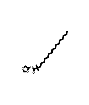 CCCCCCCCC=CCCCCCCC(C)(C)C(=O)OC1COCO1